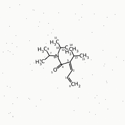 C=CC=C(C(=O)N(C(C)C)C(C)C)C(C)C